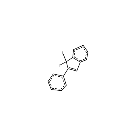 IC1(I)C(c2ccccc2)=Cc2ccccc21